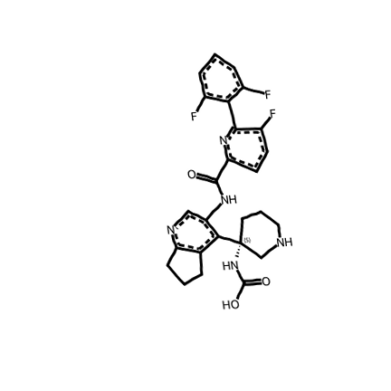 O=C(O)N[C@]1(c2c(NC(=O)c3ccc(F)c(-c4c(F)cccc4F)n3)cnc3c2CCC3)CCCNC1